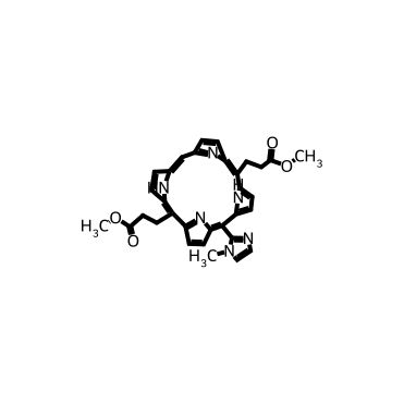 COC(=O)CCc1c2nc(c(-c3nccn3C)c3ccc([nH]3)c(CCC(=O)OC)c3nc(cc4ccc1[nH]4)C=C3)C=C2